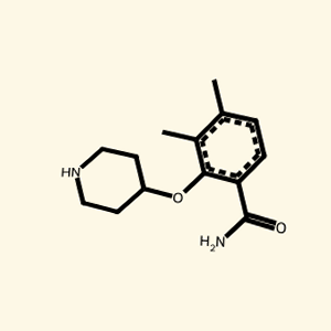 Cc1ccc(C(N)=O)c(OC2CCNCC2)c1C